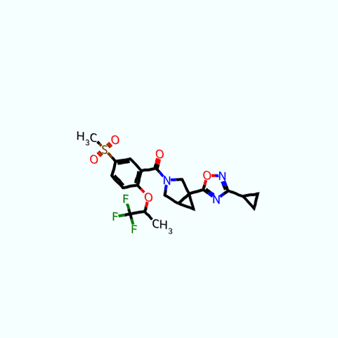 CC(Oc1ccc(S(C)(=O)=O)cc1C(=O)N1CC2CC2(c2nc(C3CC3)no2)C1)C(F)(F)F